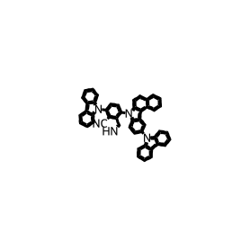 N#Cc1c(-n2c3ccccc3c3ccccc32)ccc(-n2c3ccc(-n4c5ccccc5c5ccccc54)cc3c3c4ccccc4ccc32)c1C=N